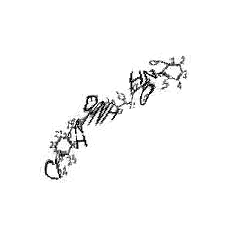 Cc1ccccc1NC(=O)CCCCCNC(=O)NCc1ccc(Cl)cc1